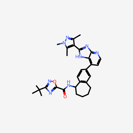 Cc1nn(C)c(C)c1-c1nc2nccc(-c3ccc4c(c3)CCCCC4NC(=O)c3nc(C(C)(C)C)no3)c2[nH]1